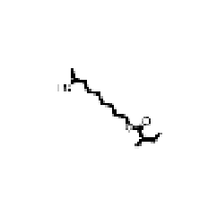 CC=C(C)C(=O)OCCCCCCCC(C)O